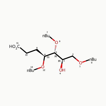 CCCCOC[C@@H](O)[C@@H](OCCCC)[C@H](CCC(=O)O)OCCCC